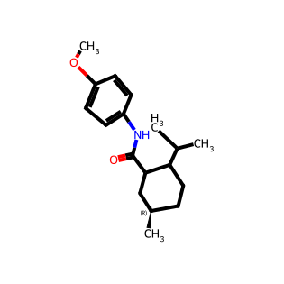 COc1ccc(NC(=O)C2C[C@H](C)CCC2C(C)C)cc1